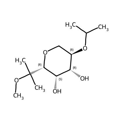 COC(C)(C)[C@@H]1OC[C@@H](OC(C)C)[C@H](O)[C@@H]1O